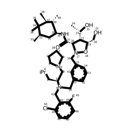 CC(C)C[C@@H](CN1CCCC1)N(Cc1cccc(CN2O[C@@H](CO)[C@@H]([C@H](C)O)[C@H]2C(=O)N[C@H]2C[C@@H](C)C(C)(C)[C@@H](C)[C@@H]2C)c1)Cc1c(F)cccc1Cl